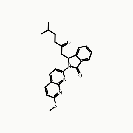 CSc1ccc2ccc(N3C(=O)c4ccccc4C3CC(=O)CCC(C)C)nc2n1